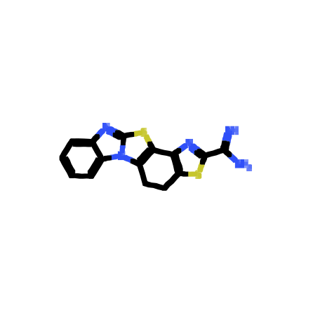 N=C(N)c1nc2c(s1)CCc1c-2sc2nc3ccccc3n12